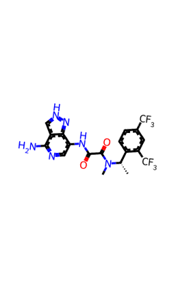 C[C@@H](c1ccc(C(F)(F)F)cc1C(F)(F)F)N(C)C(=O)C(=O)Nc1cnc(N)c2c[nH]nc12